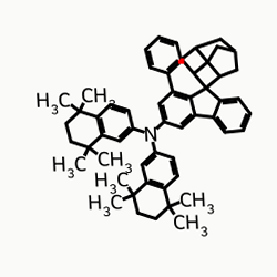 CC1(C)CCC(C)(C)c2cc(N(c3cc(-c4ccccc4)c4c(c3)-c3ccccc3C43C4CC5CC6CC3C64C5)c3ccc4c(c3)C(C)(C)CCC4(C)C)ccc21